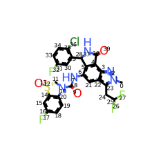 Cn1nc2c3c(c(NC(=O)N4C[S+]([O-])c5cc(F)ccc54)cc2c1CC(F)F)C(c1cc(F)ccc1Cl)NC3=O